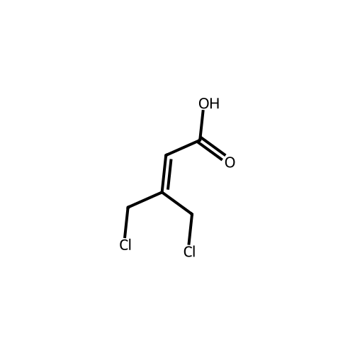 O=C(O)C=C(CCl)CCl